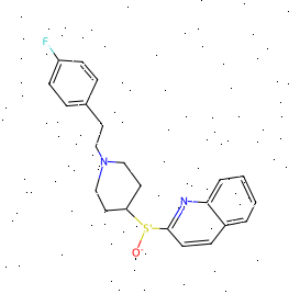 [O-][S+](c1ccc2ccccc2n1)C1CCN(CCc2ccc(F)cc2)CC1